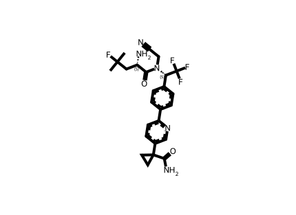 CC(C)(F)C[C@H](N)C(=O)N(CC#N)[C@@H](c1ccc(-c2ccc(C3(C(N)=O)CC3)cn2)cc1)C(F)(F)F